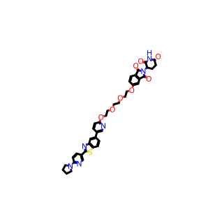 O=C1CCC(N2C(=O)c3ccc(OCCOCCOCCOc4ccc(-c5ccc6sc(-c7ccc(N8CCCC8)nc7)nc6c5)cn4)cc3C2=O)C(=O)N1